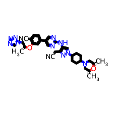 CC(Cn1cnnn1)Oc1cc(-c2cnc(Nc3cn(C4CCC(N5C[C@@H](C)O[C@@H](C)C5)CC4)nc3CC#N)nc2)ccc1C#N